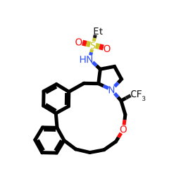 CCS(=O)(=O)NC1CCN2C1Cc1cccc(c1)-c1ccccc1CCCCOCC2C(F)(F)F